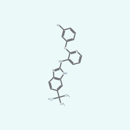 CC(C)(C)c1ccc2nc(Nc3cccnc3Oc3cccc(Cl)c3)[nH]c2c1